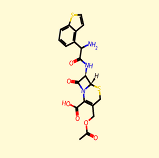 CC(=O)OCC1=C(C(=O)O)N2C(=O)[C@@H](NC(=O)C(N)c3cccc4sccc34)[C@@H]2SC1